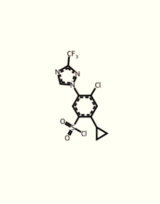 O=S(=O)(Cl)c1cc(-n2cnc(C(F)(F)F)n2)c(Cl)cc1C1CC1